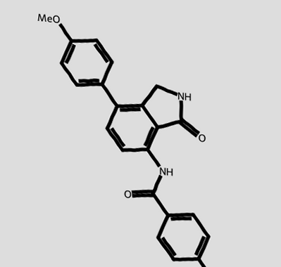 COc1ccc(-c2ccc(NC(=O)c3ccc(NC(C)=O)cc3)c3c2CNC3=O)cc1